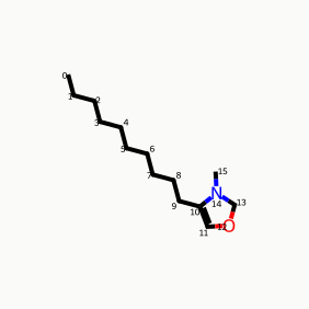 CCCCCCCCCCC1=COCN1C